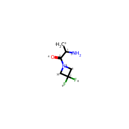 [CH2]C(N)C(=O)N1CC(F)(F)C1